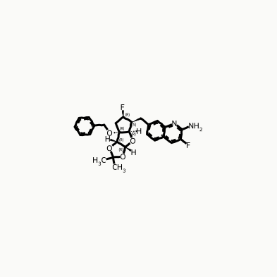 CC1(C)O[C@H]2O[C@@H]3[C@H](Cc4ccc5cc(F)c(N)nc5c4)[C@H](F)C[C@]3(OCc3ccccc3)[C@H]2O1